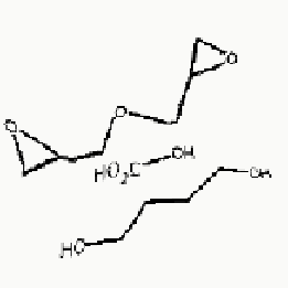 C(OCC1CO1)C1CO1.O=C(O)O.OCCCCO